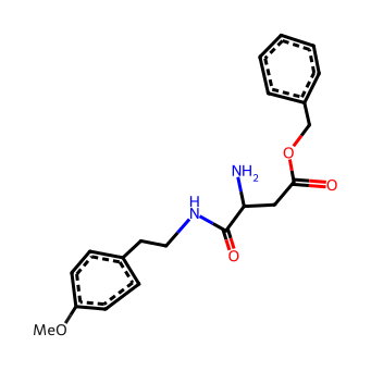 COc1ccc(CCNC(=O)C(N)CC(=O)OCc2ccccc2)cc1